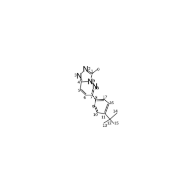 Cc1nnc2ccc(-c3ccc(C(C)(C)C)cc3)nn12